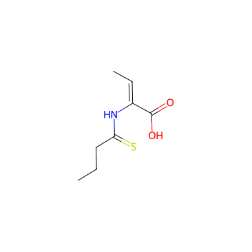 CC=C(NC(=S)CCC)C(=O)O